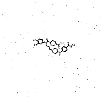 COC(=O)c1ccc(NC2CCN(CCCN(C(=O)C3CCN(C(C)=O)CC3)c3ccc(Cl)c(Cl)c3)CC2)cc1